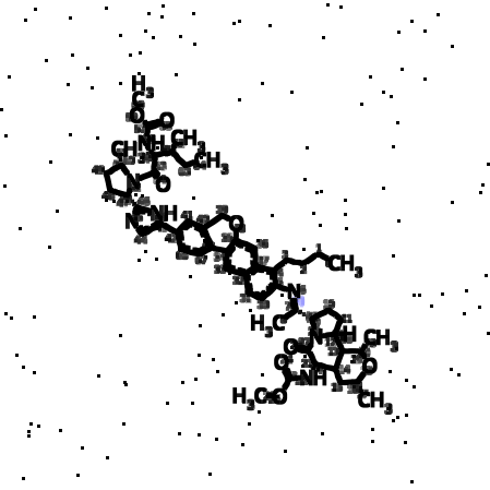 CCCCc1c(/N=C(\C)[C@@H]2CC[C@@H]3C4C(C[C@@H](C)O[C@@H]4C)[C@H](NC(=O)OC)C(=O)N32)ccc2cc3c(cc12)OCc1cc(-c2cnc([C@@H]4CC[C@H](C)N4C(=O)[C@@H](NC(=O)OC)[C@@H](C)CC)[nH]2)ccc1-3